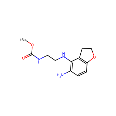 CC(C)(C)OC(=O)NCCNc1c(N)ccc2c1CCO2